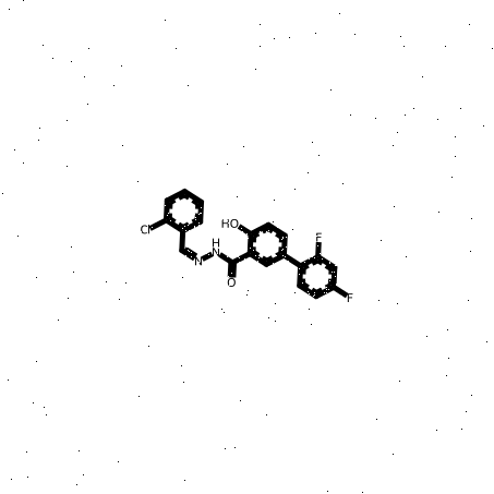 O=C(N/N=C\c1ccccc1Cl)c1cc(-c2ccc(F)cc2F)ccc1O